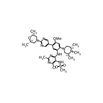 COc1cc(N2C[C@H](C)N(C)[C@@H](C)C2)c(Nc2nc(C)nc(Cl)c2NS(C)(=O)=O)cc1-c1cnc(N2C[C@@H](C)O[C@@H](C)C2)nc1